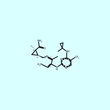 CC(=N/C[C@H]1C[C@@]1(C)C(N)=O)/C(=C\N)Nc1ncc(C(F)(F)F)c(NC2(C)CC2)n1